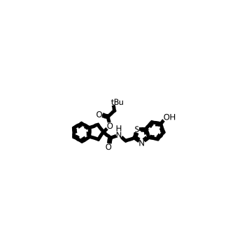 CC(C)(C)CC(=O)OC1(C(=O)NCc2nc3ccc(O)cc3s2)Cc2ccccc2C1